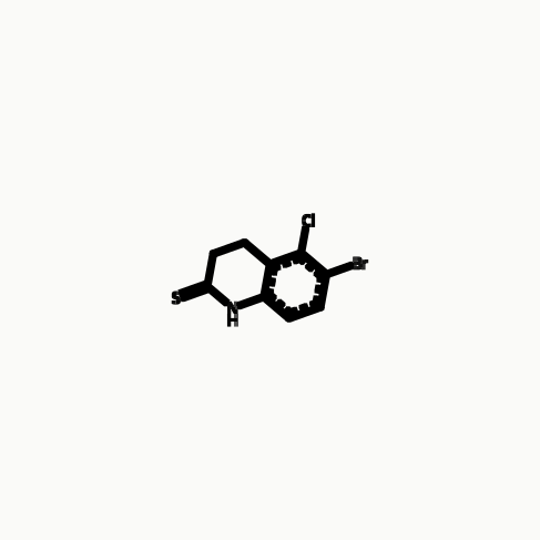 S=C1CCc2c(ccc(Br)c2Cl)N1